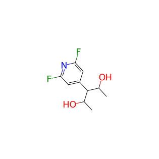 CC(O)C(c1cc(F)nc(F)c1)C(C)O